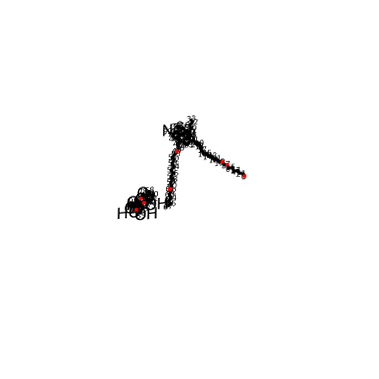 CCCCCCCCCCCCCCCCCC#CCCCc1ccccc1N=C(CCCC)C(CCCC)=Nc1ccccc1CCCC#CCCCCCCCCCCCCCCCCC.Cc1ccc(O)c(O)c1C(=O)[O-].Cc1ccc(O)c(O)c1C(=O)[O-].[Ni+2]